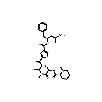 CCC(C)C(NC(=O)[C@H]1CCCCN1C)C(=O)N(C)C(CC(=O)c1nc(C(=O)NC(Cc2ccccc2)CC(C)C(=O)O)cs1)C(C)C